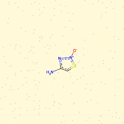 Nc1cs[n+]([O-])n1